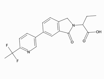 CCC(C(=O)O)N1Cc2ccc(-c3ccc(C(C)(F)F)nc3)cc2C1=O